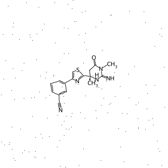 CN1C(=N)N[C@](C)(c2nc(-c3cccc(C#N)c3)cs2)CC1=O